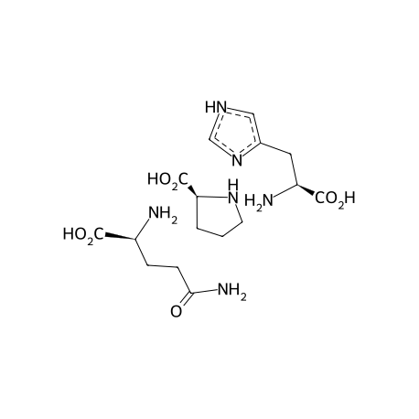 NC(=O)CC[C@H](N)C(=O)O.N[C@@H](Cc1c[nH]cn1)C(=O)O.O=C(O)[C@@H]1CCCN1